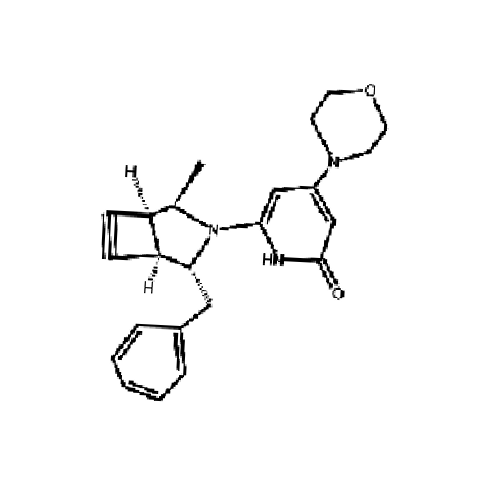 C[C@@H]1[C@@H]2C#C[C@@H]2[C@@H](Cc2ccccc2)N1c1cc(N2CCOCC2)cc(=O)[nH]1